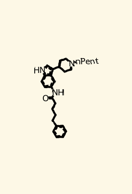 CCCCCN1CCC(c2c[nH]c3ccc(NC(=O)CCCCc4ccccc4)cc23)CC1